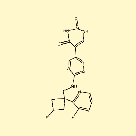 O=c1[nH]cc(-c2cnc(NCC3(c4ncccc4F)CC(F)C3)nc2)c(=O)[nH]1